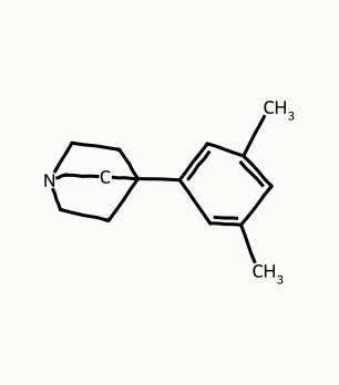 Cc1cc(C)cc(C23CCN(CC2)CC3)c1